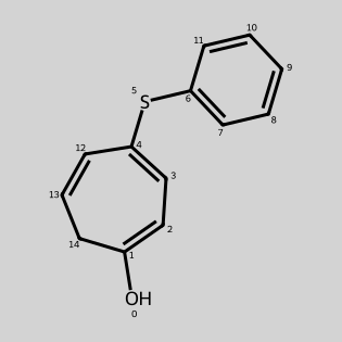 OC1=CC=C(Sc2ccccc2)C=CC1